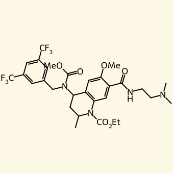 CCOC(=O)N1c2cc(C(=O)NCCN(C)C)c(OC)cc2C(N(Cc2cc(C(F)(F)F)cc(C(F)(F)F)c2)C(=O)OC)CC1C